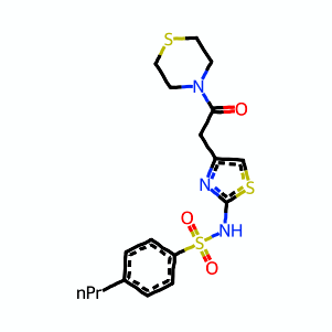 CCCc1ccc(S(=O)(=O)Nc2nc(CC(=O)N3CCSCC3)cs2)cc1